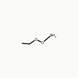 BOOCC